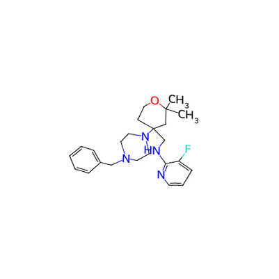 CC1(C)CC(CNc2ncccc2F)(N2CCN(Cc3ccccc3)CC2)CCO1